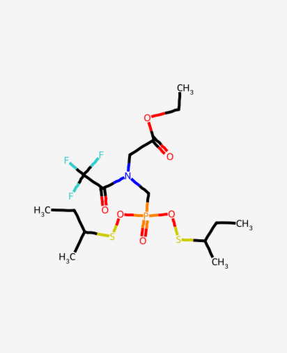 CCOC(=O)CN(CP(=O)(OSC(C)CC)OSC(C)CC)C(=O)C(F)(F)F